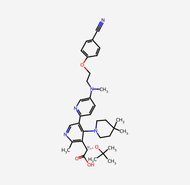 Cc1ncc(-c2ccc(N(C)CCOc3ccc(C#N)cc3)cn2)c(N2CCC(C)(C)CC2)c1[C@H](OC(C)(C)C)C(=O)O